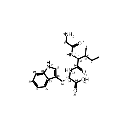 CC[C@H](C)[C@H](NC(=O)CN)C(=O)N[C@@H](Cc1c[nH]c2ccccc12)C(=O)O